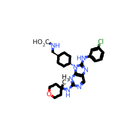 CC1(Nc2ncc3nc(Nc4cccc(Cl)c4)n([C@H]4CC[C@H](CNC(=O)O)CC4)c3n2)CCOCC1